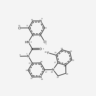 CN(C(=O)Nc1c(Cl)cncc1Cl)c1ccnc(N2CCc3cccc(F)c32)c1